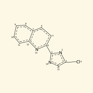 Clc1nc(-c2ccc3ccccc3n2)ns1